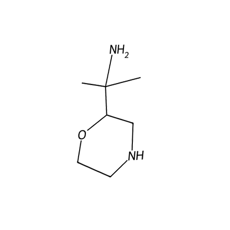 CC(C)(N)C1CNCCO1